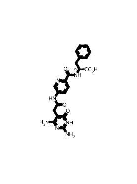 Nc1nc(N)c(CC(=O)Nc2ccc(C(=O)N[C@@H](Cc3ccccc3)C(=O)O)nc2)c(=O)[nH]1